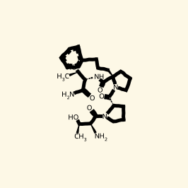 C[C@@H](O)[C@H](N)C(=O)N1CCC[C@H]1C(=O)N1CCC[C@@]1(CCCc1ccccc1)C(=O)N[C@H](C(N)=O)[C@@H](C)O